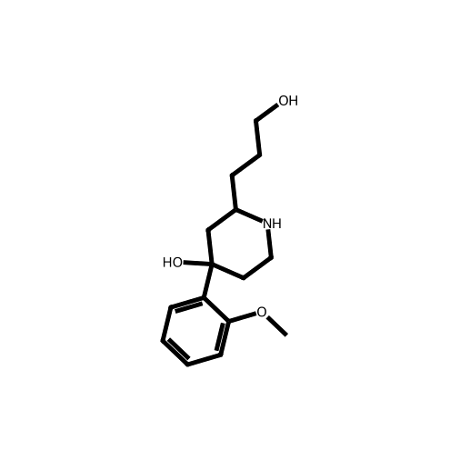 COc1ccccc1C1(O)CCNC(CCCO)C1